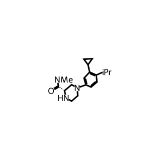 CNC(=O)[C@@H]1CN(c2ccc(C(C)C)c(C3CC3)c2)CCN1